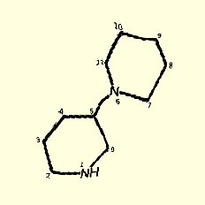 [CH]1NCCCC1N1CCCCC1